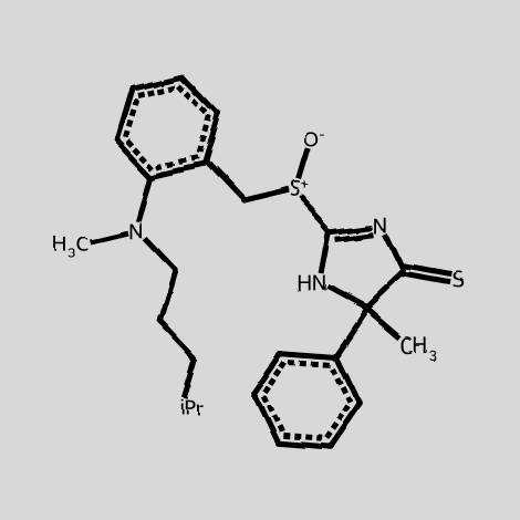 CC(C)CCCN(C)c1ccccc1C[S+]([O-])C1=NC(=S)C(C)(c2ccccc2)N1